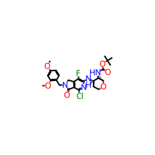 COc1ccc(CN2Cc3c(F)c(N[C@@H]4CCOC[C@@H]4NC(=O)OC(C)(C)C)nc(Cl)c3C2=O)c(OC)c1